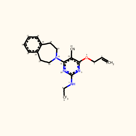 C=CCOc1nc(NCC(F)(F)F)nc(N2CCc3ccccc3CC2)c1C#N